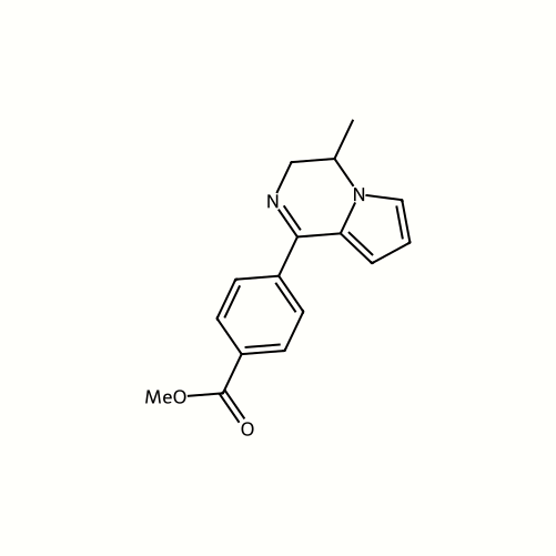 COC(=O)c1ccc(C2=NCC(C)n3cccc32)cc1